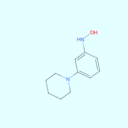 ONc1cccc(N2CCCCC2)c1